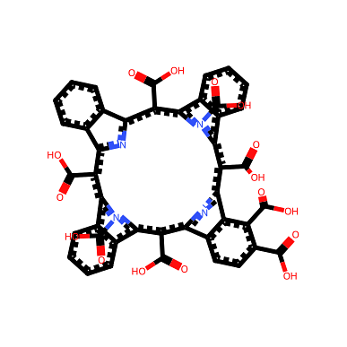 O=C(O)c1ccc2c(c1C(=O)O)-c1nc-2c(C(=O)O)c2c3ccccc3c(c(C(=O)O)c3nc(c(C(=O)O)c4c5ccccc5c(c1C(=O)O)n4C(=O)O)-c1ccccc1-3)n2C(=O)O